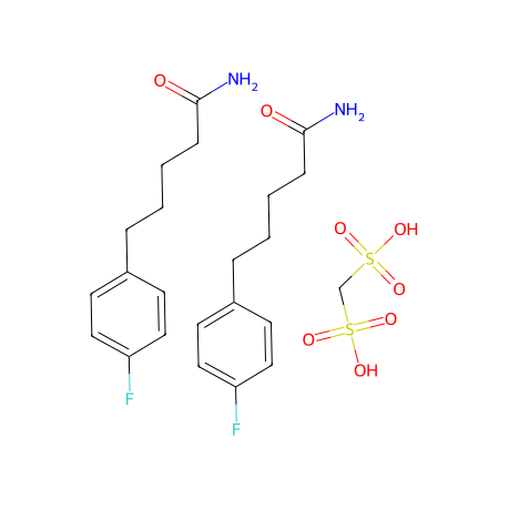 NC(=O)CCCCc1ccc(F)cc1.NC(=O)CCCCc1ccc(F)cc1.O=S(=O)(O)CS(=O)(=O)O